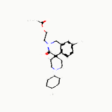 CNC(=O)OCCN1Cc2cc(C#N)ccc2C2(CCN([C@H]3CC[C@@H](C(C)C)CC3)CC2)C1=O